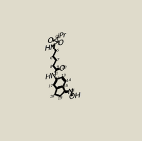 CC(C)S(=O)(=O)NCCCCC(=O)Nc1ccc2c(c1)CCC2=NO